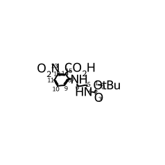 CC(C)(C)OC(=O)NCCNc1cccc([N+](=O)[O-])c1C(=O)O